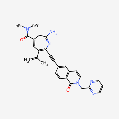 C=C(C)C1=C(C#Cc2ccc3c(=O)n(Cc4ncccn4)ccc3c2)N=C(N)CC(C(=O)N(CCC)CCC)=C1